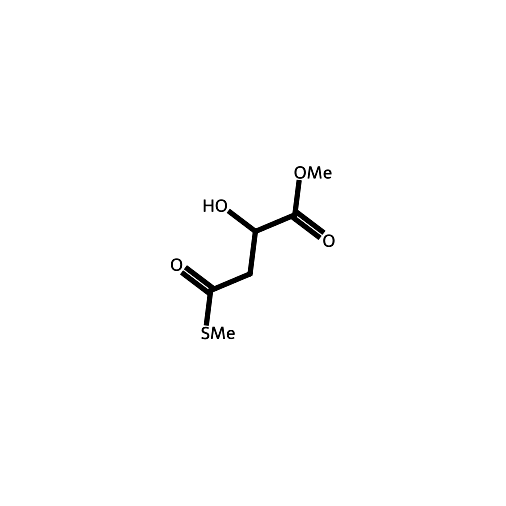 COC(=O)C(O)CC(=O)SC